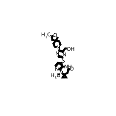 C[C@H]1CC2(CCN(c3ncc(Sc4ccnc5c4NC(=O)CC4(CC4)N5C)nc3CO)CC2)CO1